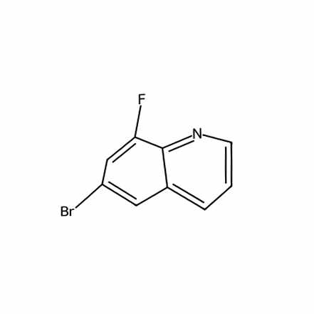 Fc1cc(Br)cc2cccnc12